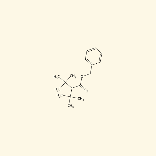 CC(C)(C)C(C(=O)OCc1ccccc1)C(C)(C)C